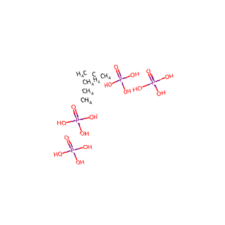 C.C.C.C.C.C.O=P(O)(O)O.O=P(O)(O)O.O=P(O)(O)O.O=P(O)(O)O